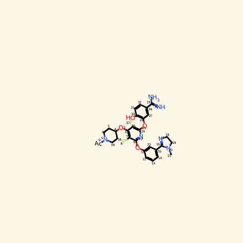 CC(=O)N1CCC(Oc2c(F)c(Oc3cccc(C4=NCCN4C)c3)nc(Oc3cc(C(=N)N)ccc3O)c2F)CC1